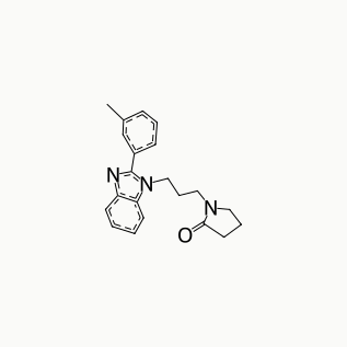 Cc1cccc(-c2nc3ccccc3n2CCCN2CCCC2=O)c1